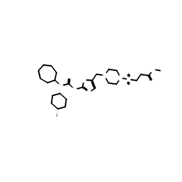 COC(=O)CCS(=O)(=O)N1CCN(Cc2cnc(NC(=O)N(C3CCCCCC3)[C@H]3CC[C@H](C)CC3)s2)CC1